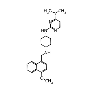 COc1ccc(CN[C@H]2CC[C@@H](Nc3nccc(N(C)C)n3)CC2)c2ccccc12